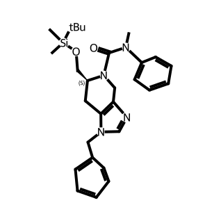 CN(C(=O)N1Cc2ncn(Cc3ccccc3)c2C[C@H]1CO[Si](C)(C)C(C)(C)C)c1ccccc1